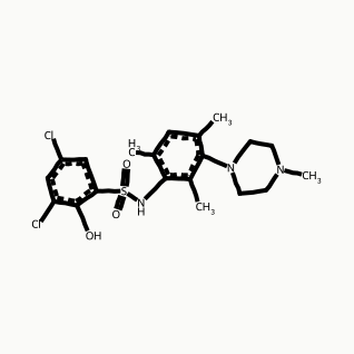 Cc1cc(C)c(N2CCN(C)CC2)c(C)c1NS(=O)(=O)c1cc(Cl)cc(Cl)c1O